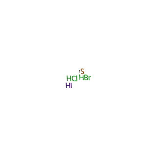 Br.Cl.I.[S]